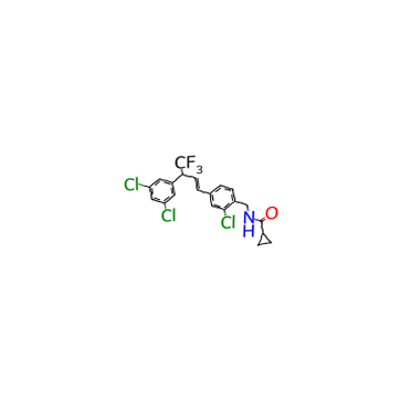 O=C(NCc1ccc(/C=C/C(c2cc(Cl)cc(Cl)c2)C(F)(F)F)cc1Cl)C1CC1